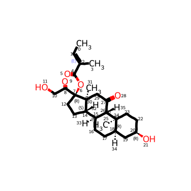 C/C=C(\C)C(=O)O[C@]1(C(=O)CO)CC[C@H]2[C@@H]3CC[C@@H]4C[C@H](O)CC[C@]4(C)[C@H]3C(=O)C[C@@]21C